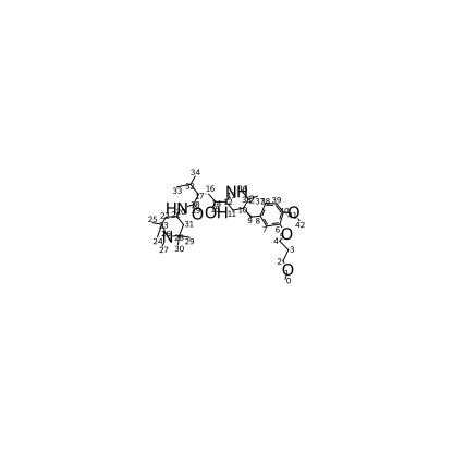 COCCCOc1cc(C[C@@H](C[C@H](N)[C@@H](O)C[C@H](C(=O)NC2CC(C)(C)N(C)C(C)(C)C2)C(C)C)C(C)C)ccc1OC